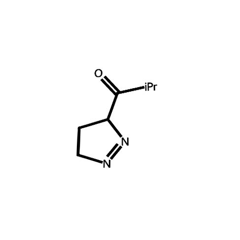 CC(C)C(=O)C1CCN=N1